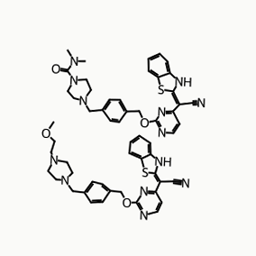 CN(C)C(=O)N1CCN(Cc2ccc(COc3nccc(C(C#N)=C4Nc5ccccc5S4)n3)cc2)CC1.COCCN1CCN(Cc2ccc(COc3nccc(C(C#N)=C4Nc5ccccc5S4)n3)cc2)CC1